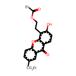 CCOC(=O)c1ccc2oc3c(CCOC(=O)CC)c(O)ccc3c(=O)c2c1